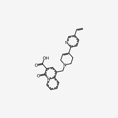 C=Cc1ccc(C2=CCN(Cc3cc(C(=O)O)c(=O)n4ccccc34)CC2)nc1